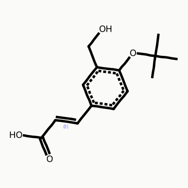 CC(C)(C)Oc1ccc(/C=C/C(=O)O)cc1CO